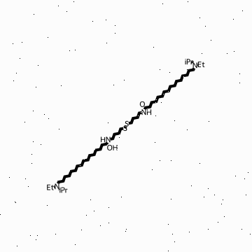 CCN(CCCCCCCCCCCCCCCC(=O)NCCCCSSCCCCNC(O)CCCCCCCCCCCCCCCN(CC)C(C)C)C(C)C